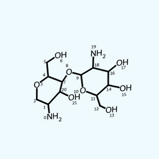 NC1COC(CO)C(OC2OC(CO)C(O)C(O)C2N)C1O